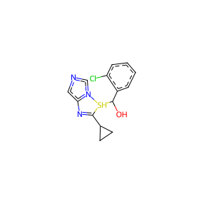 OC(c1ccccc1Cl)[SH]1C(C2CC2)=Nc2cncn21